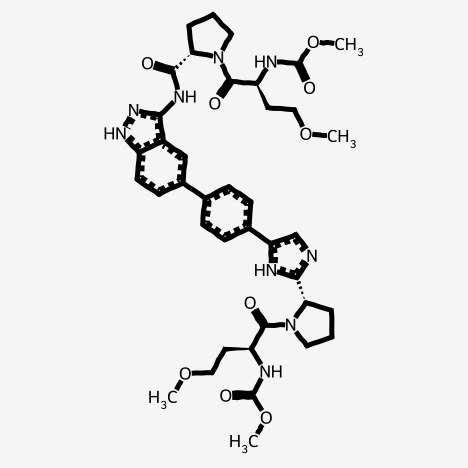 COCC[C@H](NC(=O)OC)C(=O)N1CCC[C@H]1C(=O)Nc1n[nH]c2ccc(-c3ccc(-c4cnc([C@@H]5CCCN5C(=O)[C@H](CCOC)NC(=O)OC)[nH]4)cc3)cc12